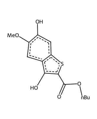 CCCCOC(=O)c1sc2cc(O)c(OC)cc2c1O